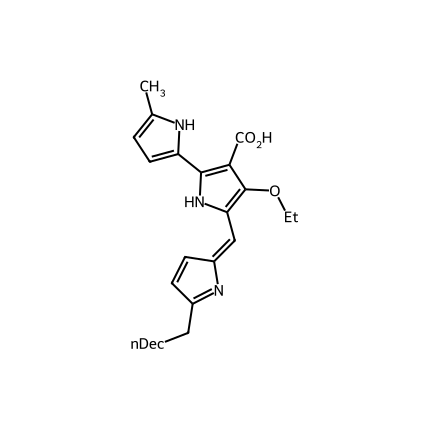 CCCCCCCCCCCC1=N/C(=C/c2[nH]c(-c3ccc(C)[nH]3)c(C(=O)O)c2OCC)C=C1